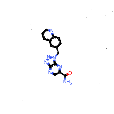 NC(=O)c1cnc2nnn(Cc3ccc4ncccc4c3)c2n1